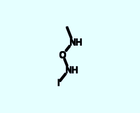 CNONI